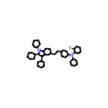 Fc1ccccc1N(c1ccccc1)c1ccc(/C=C/c2ccc3c(c2)c(-c2ccccc2)c(-c2ccccc2)n3-c2ccccc2)cc1